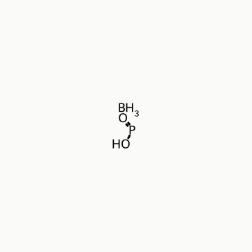 B.O=PO